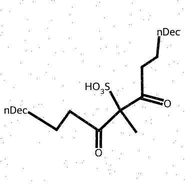 CCCCCCCCCCCCC(=O)C(C)(C(=O)CCCCCCCCCCCC)S(=O)(=O)O